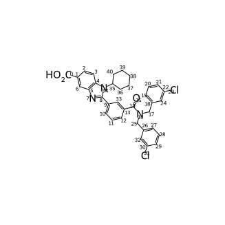 O=C(O)c1ccc2c(c1)nc(-c1cccc(C(=O)N(Cc3cccc(Cl)c3)Cc3cccc(Cl)c3)c1)n2C1CCCCC1